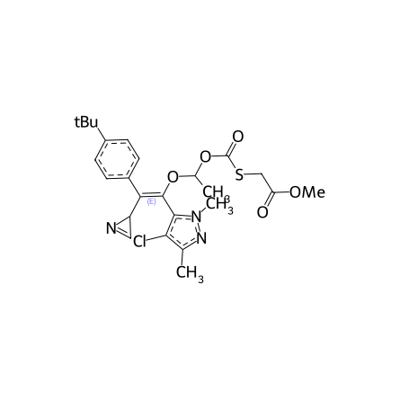 COC(=O)CSC(=O)OC(C)O/C(=C(\c1ccc(C(C)(C)C)cc1)C1C=N1)c1c(Cl)c(C)nn1C